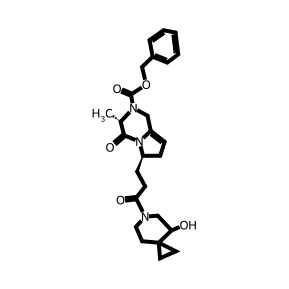 C[C@H]1C(=O)N2C(=CC[C@H]2CCC(=O)N2CCC3(CC3)C(O)C2)CN1C(=O)OCc1ccccc1